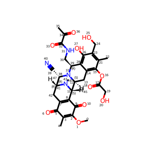 COC1=C(C)C(=O)C2=C(C1=O)[C@H]1[C@@H]3Cc4c(OC(=O)CO)c(C)c(CO)c(O)c4[C@H](CNC(=O)C(C)=O)N3[C@@H](C#N)[C@@H](C2)N1C